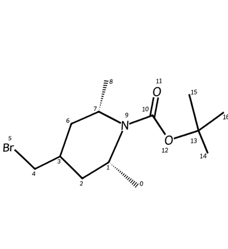 C[C@@H]1CC(CBr)C[C@H](C)N1C(=O)OC(C)(C)C